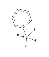 F[SH](F)(F)(F)c1cc[c]cc1